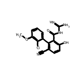 COc1cccc(-c2c(C#N)ccc(O)c2C(=O)NC(=N)N)c1Cl